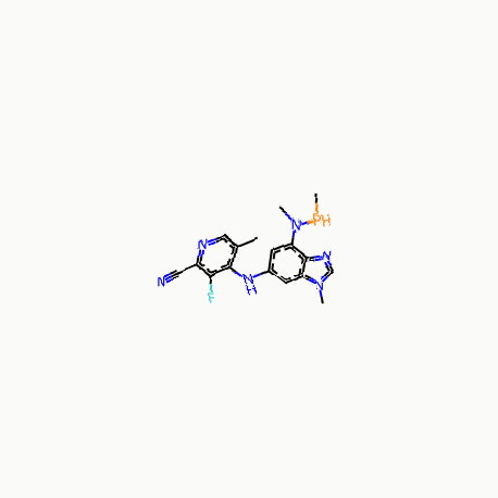 CPN(C)c1cc(Nc2c(C)cnc(C#N)c2F)cc2c1ncn2C